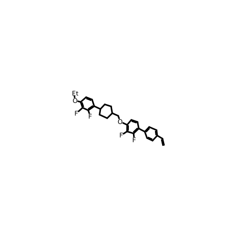 C=Cc1ccc(-c2ccc(OCC3CCC(c4ccc(OCC)c(F)c4F)CC3)c(F)c2F)cc1